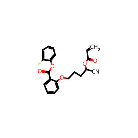 C=CC(=O)OC(C#N)CCCOc1ccccc1C(=O)Oc1cc[c]cc1F